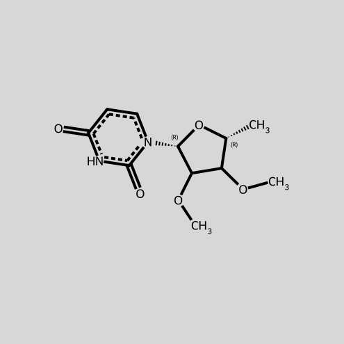 COC1C(OC)[C@@H](C)O[C@H]1n1ccc(=O)[nH]c1=O